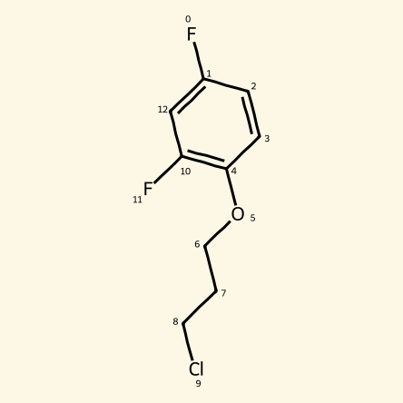 Fc1ccc(OCCCCl)c(F)c1